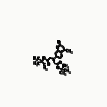 Cc1cc(=O)oc2cc(N(CC(=O)OC(C)(C)C)CC(=O)OC(C)(C)C)ccc12